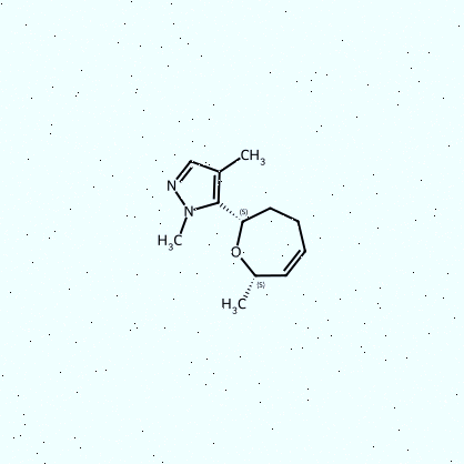 Cc1cnn(C)c1[C@@H]1CCC=C[C@H](C)O1